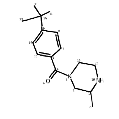 CC1CN(C(=O)c2ccc(C(C)(C)C)cc2)CCN1